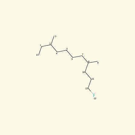 CCC(C)CCCCC(C)CCCF